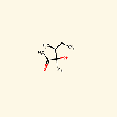 CCC(C)C(C)(O)C(C)=O